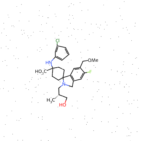 COCc1cc2c(cc1F)CN(C[C@@H](C)CO)C21CCC(Nc2cccc(Cl)c2)(C(=O)O)CC1